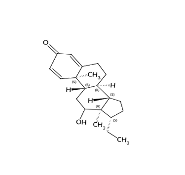 CC[C@H]1CC[C@H]2[C@@H]3CCC4=CC(=O)C=C[C@]4(C)[C@H]3CC(O)[C@]12C